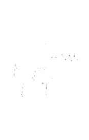 C=C(C)c1cc(C)cc2c(C(=O)NC)cn(C)c12